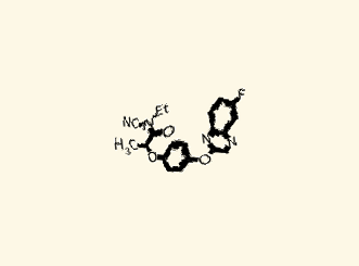 CCN(C#N)C(=O)C(C)Oc1ccc(Oc2cnc3cc(F)ccc3n2)cc1